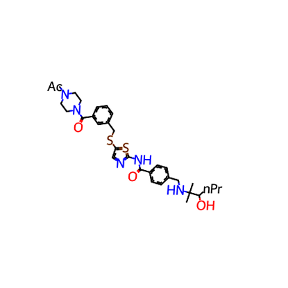 CCCC(O)C(C)(C)NCc1ccc(C(=O)Nc2ncc(SCc3cccc(C(=O)N4CCN(C(C)=O)CC4)c3)s2)cc1